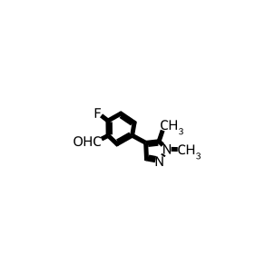 Cc1c(-c2ccc(F)c(C=O)c2)cnn1C